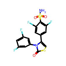 NS(=O)(=O)c1c(F)cc(-c2csc(=O)n2-c2cc(F)cc(F)c2)cc1F